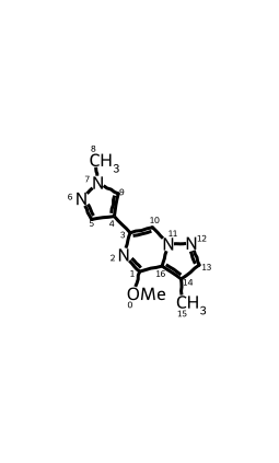 COc1nc(-c2cnn(C)c2)cn2ncc(C)c12